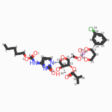 CCCCCOC(=O)Nc1ccn([C@@H]2O[C@H](COP3(=O)OCC[C@@H](c4cccc(Cl)c4)O3)[C@@H](OC(=O)C(C)C)[C@@]2(C)O)c(=O)n1